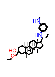 CCOC[C@@]1(O)CC[C@H]2[C@H](CC[C@@H]3[C@@H]2CC[C@]2(C)[C@@H]([C@@H](CC)Nc4cccc(NC)c4)CC[C@@H]32)C1